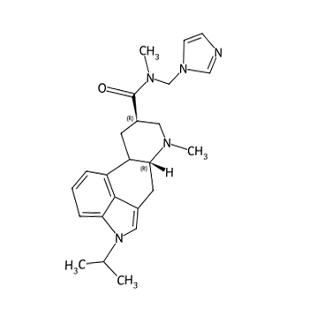 CC(C)n1cc2c3c(cccc31)C1C[C@@H](C(=O)N(C)Cn3ccnc3)CN(C)[C@@H]1C2